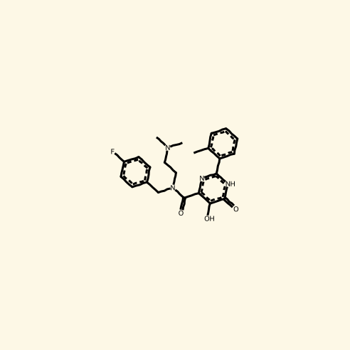 Cc1ccccc1-c1nc(C(=O)N(CCN(C)C)Cc2ccc(F)cc2)c(O)c(=O)[nH]1